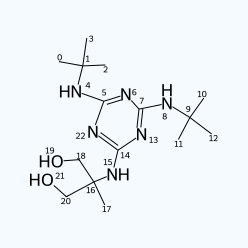 CC(C)(C)Nc1nc(NC(C)(C)C)nc(NC(C)(CO)CO)n1